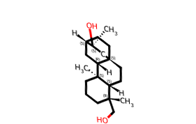 C[C@@]1(CO)CCC[C@]2(C)[C@@H]1CC[C@@]13CC[C@@H](C[C@H]12)[C@@](C)(O)C3